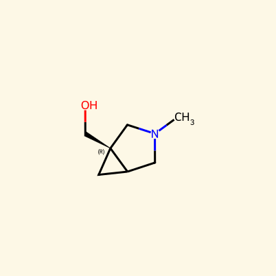 CN1CC2C[C@]2(CO)C1